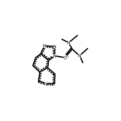 CN(C)C(=[O+]n1nnc2ccc3cnccc3c21)N(C)C